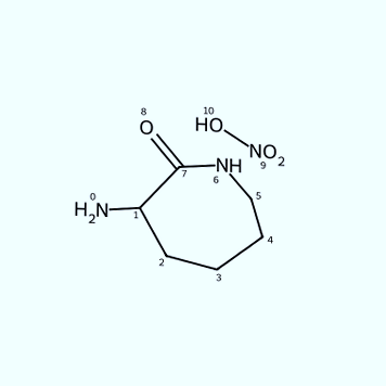 NC1CCCCNC1=O.O=[N+]([O-])O